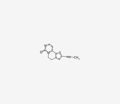 CC#Cc1cc2c(s1)-c1ccnc(=O)n1CC2